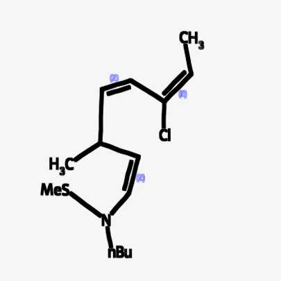 C/C=C(Cl)\C=C/C(C)/C=C\N(CCCC)SC